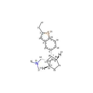 CCc1cc2cc([C@@H]3[C@@H]4CC[C@@H](C4)[C@@H]3CN(C)C)ccc2s1